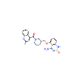 Cc1cc(C(=O)N2CCCC(COc3cccc4c3C(N)=N[S+]([O-])N4)C2)c2ccccc2n1